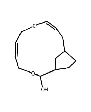 OC1OCC=CCCC=CCC2CCC1C2